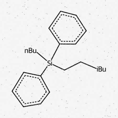 CCCC[Si](CCC(C)CC)(c1ccccc1)c1ccccc1